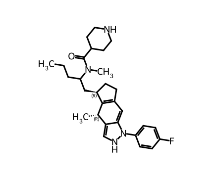 CCCC(C[C@H]1CCC2=C1[C@@H](C)C1=CNN(c3ccc(F)cc3)C1=C2)N(C)C(=O)C1CCNCC1